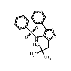 CC(C)(C)Cc1onc(-c2ccccc2)c1NS(=O)(=O)c1ccccc1